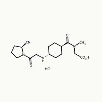 CN(CC(=O)O)C(=O)[C@H]1CC[C@H](NCC(=O)N2CCC[C@H]2C#N)CC1.Cl